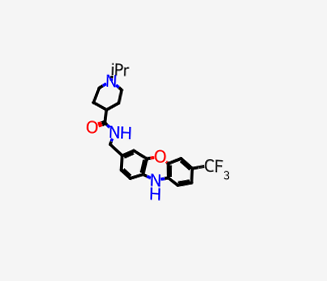 CC(C)N1CCC(C(=O)NCc2ccc3c(c2)Oc2cc(C(F)(F)F)ccc2N3)CC1